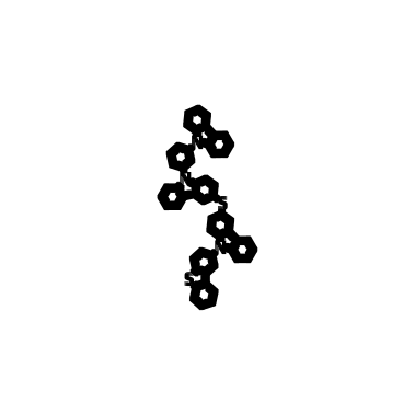 c1cc(-n2c3ccccc3c3ccccc32)cc(-n2c3ccccc3c3cc(Sc4ccc5c(c4)c4ccccc4n5-c4ccc5sc6ccccc6c5c4)ccc32)c1